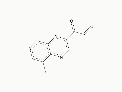 Cc1cncc2nc(C(=O)C=O)cnc12